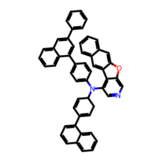 C1=CC(N(c2ccc(-c3cc(-c4ccccc4)cc4ccccc34)cc2)c2cncc3oc4cc5ccccc5cc4c23)CC=C1c1cccc2ccccc12